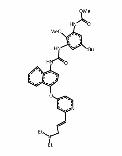 CCN(CC)CC=Cc1cc(Oc2ccc(NC(=O)Nc3cc(C(C)(C)C)cc(NC(=O)OC)c3OC)c3ccccc23)ccn1